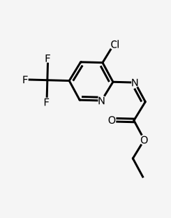 CCOC(=O)/C=N\c1ncc(C(F)(F)F)cc1Cl